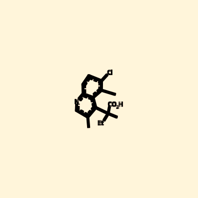 CCC(C)(C(=O)O)c1c(C)cnc2ccc(Cl)c(C)c12